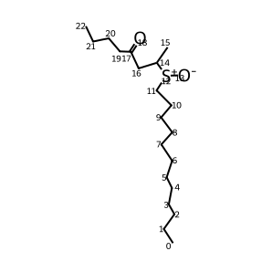 CCCCCCCCCCCC[S+]([O-])C(C)CC(=O)CCCC